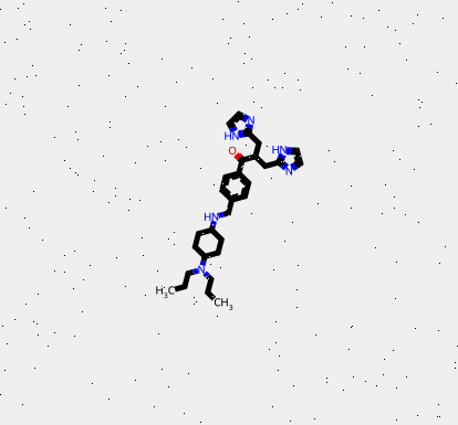 CCCN(CCC)C1CCC(NCc2ccc(C(=O)C(Cc3ncc[nH]3)Cc3ncc[nH]3)cc2)CC1